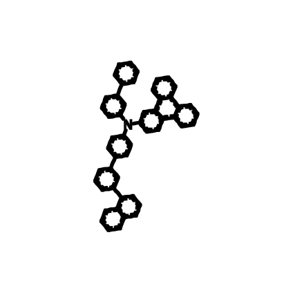 c1ccc(-c2cccc(N(c3ccc(-c4cccc(-c5cccc6ccccc56)c4)cc3)c3ccc4c5ccccc5c5ccccc5c4c3)c2)cc1